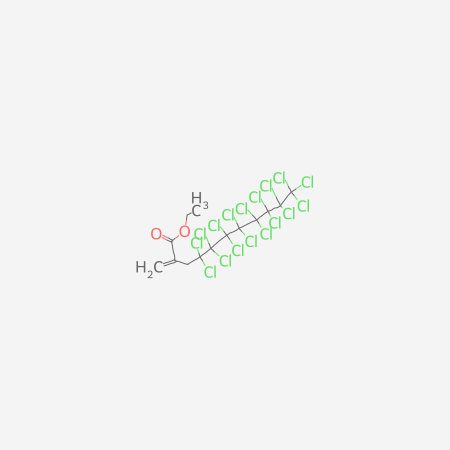 C=C(CC(Cl)(Cl)C(Cl)(Cl)C(Cl)(Cl)C(Cl)(Cl)C(Cl)(Cl)C(Cl)(Cl)C(Cl)(Cl)C(Cl)(Cl)Cl)C(=O)OCC